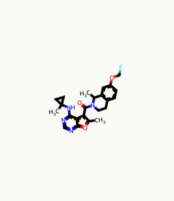 Cc1oc2ncnc(NC3(C)CC3)c2c1C(=O)N1CCc2ccc(OCF)cc2C1C